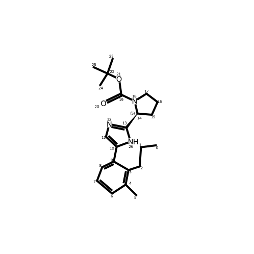 CCCc1c(C)cccc1-c1cnc([C@@H]2CCCN2C(=O)OC(C)(C)C)[nH]1